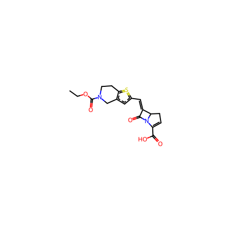 CCOC(=O)N1CCc2sc(C=C3C(=O)N4C(C(=O)O)=CCC34)cc2C1